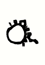 CCOC(=O)[C@@]12C[C@H]1/C=C\CCCCC[C@H](C)C(=O)N1CCC[C@H]1C(=O)N2